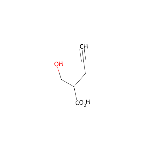 C#CCC(CO)C(=O)O